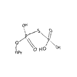 CCCOP(=O)(O)SP(=O)(O)O